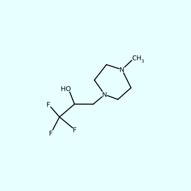 CN1CCN(CC(O)C(F)(F)F)CC1